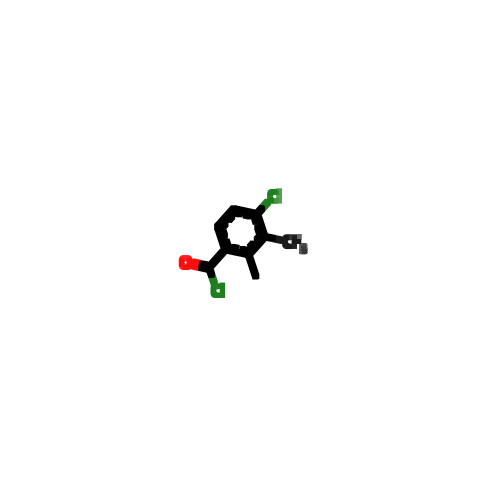 Cc1c(C(=O)Cl)ccc(Cl)c1C(F)(F)F